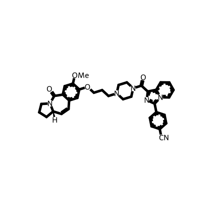 COc1cc2c(cc1OCCCN1CCN(C(=O)c3nc(-c4ccc(C#N)cc4)n4ccccc34)CC1)C=C[C@@H]1CCCN1C2=O